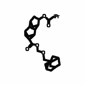 CC(C)C(=O)OC1CC2CC1C1C3CC(CC3C(=O)OCOCC34CC5CC(CC(C5)C3)C4)C21